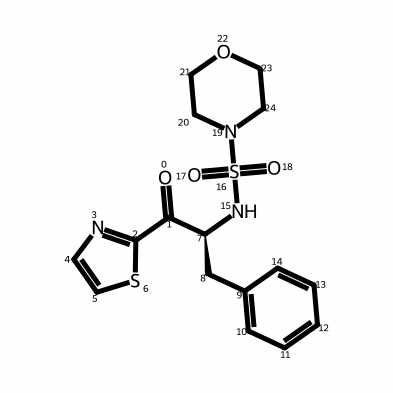 O=C(c1nc[c]s1)[C@H](Cc1ccccc1)NS(=O)(=O)N1CCOCC1